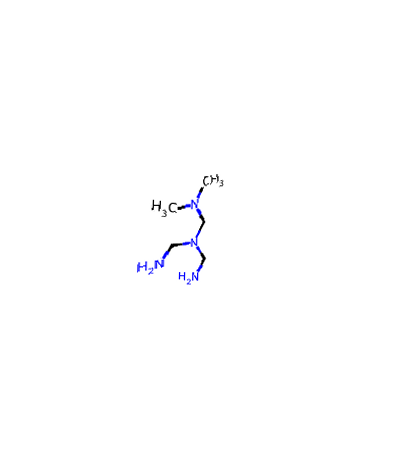 CN(C)CN(CN)CN